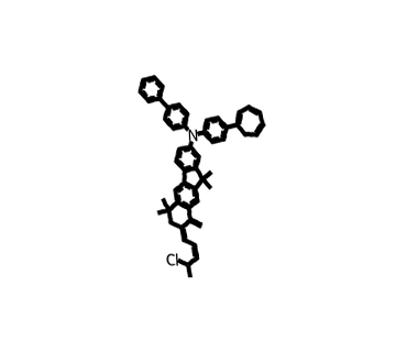 C=C1/C(=C\C=C/C(C)Cl)CC(C)(C)c2cc3c(cc21)C(C)(C)c1cc(N(c2ccc(C4=CC=CC=CC4)cc2)c2ccc(-c4ccccc4)cc2)ccc1-3